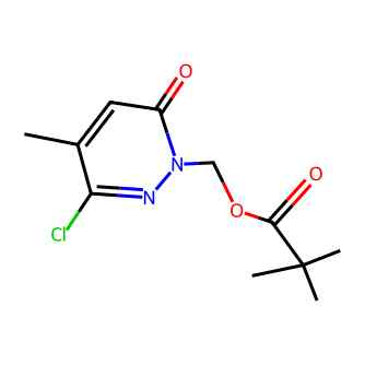 Cc1cc(=O)n(COC(=O)C(C)(C)C)nc1Cl